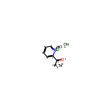 CC(=O)c1ccccn1.Cl.Cl.Cl.[TeH2]